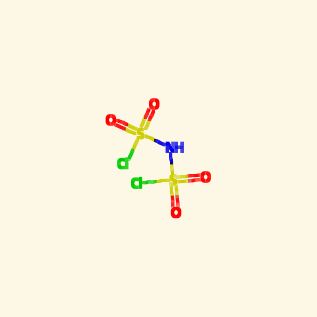 O=S(=O)(Cl)NS(=O)(=O)Cl